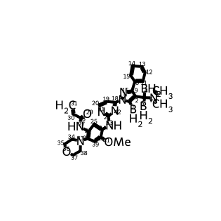 Bc1c(C(B)(B)N(C)C)c(-c2ccccc2)nn1-c1ccnc(Nc2cc(NC(=O)C=C)c(N3CCOCC3)cc2OC)n1